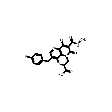 CNC(=O)c1c(O)c2ncc(Cc3ccc(F)cc3)c3c2n(c1=O)CC(C(=O)O)O3